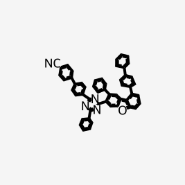 N#Cc1ccc(-c2ccc(-c3nc(-c4ccccc4)nc(-c4cc5oc6cccc(-c7ccc(-c8ccccc8)cc7)c6c5cc4-c4ccccc4)n3)cc2)cc1